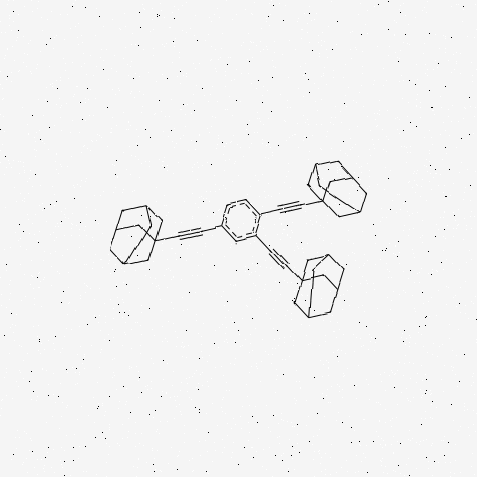 C(#CC12CC3CC(CC(C3)C1)C2)c1[c]c(C#CC23CC4CC(CC(C4)C2)C3)c(C#CC23CC4CC(CC(C4)C2)C3)cc1